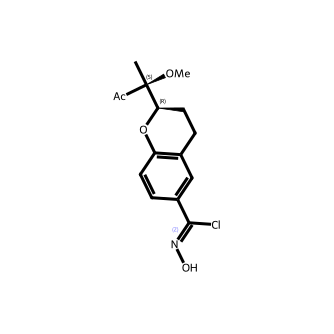 CO[C@](C)(C(C)=O)[C@H]1CCc2cc(/C(Cl)=N/O)ccc2O1